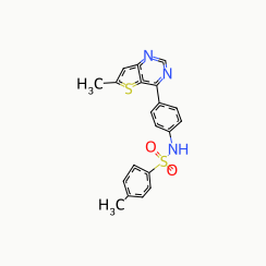 Cc1ccc(S(=O)(=O)Nc2ccc(-c3ncnc4cc(C)sc34)cc2)cc1